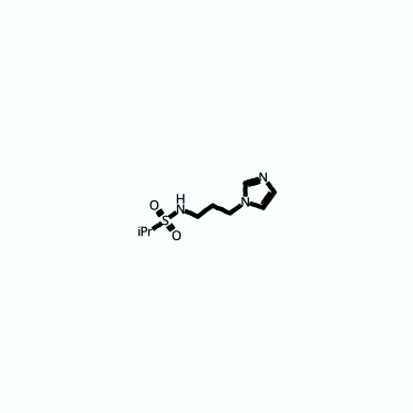 CC(C)S(=O)(=O)NCCCn1ccnc1